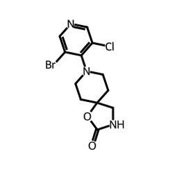 O=C1NCC2(CCN(c3c(Cl)cncc3Br)CC2)O1